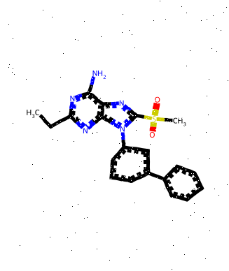 CCc1nc(N)c2nc(S(C)(=O)=O)n(-c3cccc(-c4ccccc4)c3)c2n1